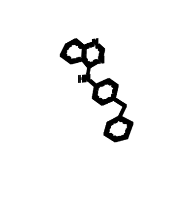 c1ccc(Cc2ccc(Nc3ncnc4ccccc34)cc2)cc1